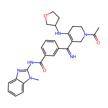 CC(=O)N1CCC(NC2CCOC2)=C(C(=N)c2cccc(C(=O)Nc3nc4ccccc4n3C)c2)C1